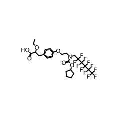 CCOC(Cc1ccc(OCCN(CC(F)(F)C(F)(F)C(F)(F)C(F)(F)C(F)(F)F)C(=O)OC2CCCC2)cc1)C(=O)O